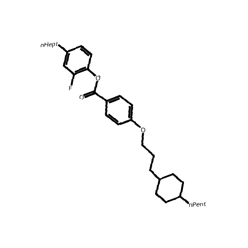 CCCCCCCc1ccc(OC(=O)c2ccc(OCCCC3CCC(CCCCC)CC3)cc2)c(F)c1